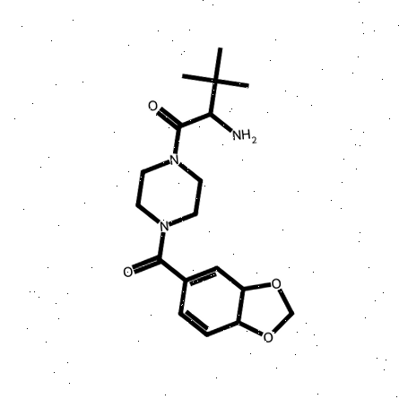 CC(C)(C)C(N)C(=O)N1CCN(C(=O)C2=CC3OCOC3C=C2)CC1